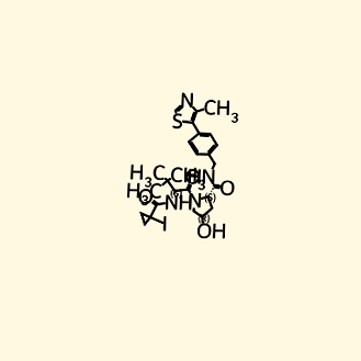 Cc1ncsc1-c1ccc(CNC(=O)[C@@H]2C[C@@H](O)CN2C(=O)[C@@H](NC(=O)C2(I)CC2)C(C)(C)C)cc1